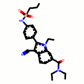 CCCS(=O)(=O)Nc1ccc(-c2c(C#N)c3ccc(C(=O)N(CC)CC)cc3n2CC)cc1